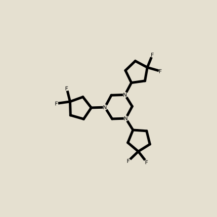 FC1(F)CCC(N2CN(C3CCC(F)(F)C3)CN(C3CCC(F)(F)C3)C2)C1